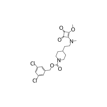 COc1c(N(C)CCC2CCN(C(=O)OCc3cc(Cl)cc(Cl)c3)CC2)c(=O)c1=O